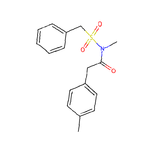 Cc1ccc(CC(=O)N(C)S(=O)(=O)Cc2ccccc2)cc1